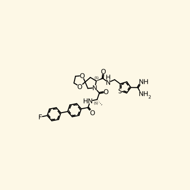 C[C@H](NC(=O)c1ccc(-c2ccc(F)cc2)cc1)C(=O)N1CC2(C[C@H]1C(=O)NCc1cc(C(=N)N)cs1)OCCO2